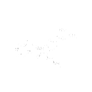 CC(S)OCc1ccc([C@@H](CCN)C(=O)Nc2ccc3cnccc3c2)cc1